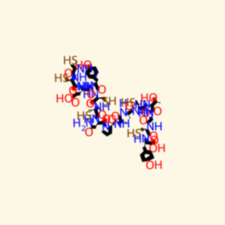 C[C@H](NC(=O)[C@H](C)NC(=O)[C@@H]1CCCN1C(=O)[C@H](CC(N)=O)NC(=O)[C@H](CS)NC(=O)[C@H](CS)NC(=O)[C@H](Cc1ccc(O)cc1)NC(=O)[C@H](CCC(=O)O)NC(=O)[C@H](CS)NC(=O)[C@@H](N)CS)C(=O)N[C@@H](CS)C(=O)N[C@H](C(=O)NCC(=O)N[C@@H](CS)C(=O)N[C@@H](Cc1ccc(O)cc1)C(=O)O)[C@@H](C)O